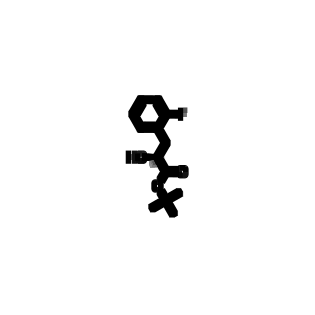 CC(C)(C)OC(=O)[C@@H](O)Cc1ccccc1F